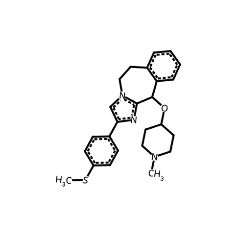 CSc1ccc(-c2cn3c(n2)C(OC2CCN(C)CC2)c2ccccc2CC3)cc1